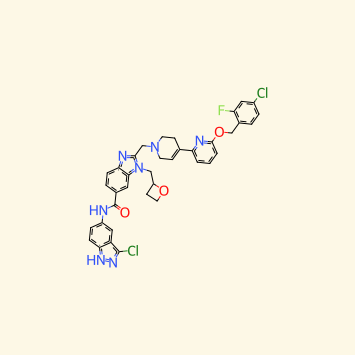 O=C(Nc1ccc2[nH]nc(Cl)c2c1)c1ccc2nc(CN3CC=C(c4cccc(OCc5ccc(Cl)cc5F)n4)CC3)n(CC3CCO3)c2c1